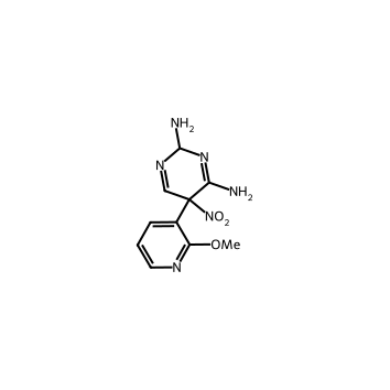 COc1ncccc1C1([N+](=O)[O-])C=NC(N)N=C1N